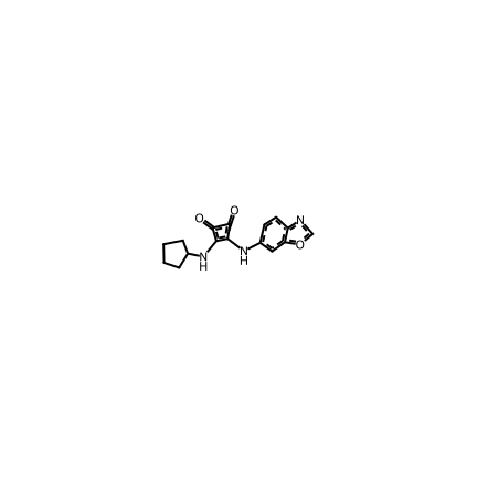 O=c1c(Nc2ccc3ncoc3c2)c(NC2CCCC2)c1=O